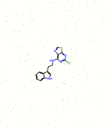 Clc1nc(NCCc2c[nH]c3ccccc23)c2ncsc2n1